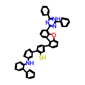 N=C(/N=C(\N=C\c1ccccc1)c1cccc2c1oc1cccc(-c3ccc(-c4cccc(Nc5ccccc5-c5ccccc5)c4)c(S)c3)c12)c1ccccc1